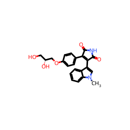 Cn1cc(C2=C(c3ccc(OC[C@H](O)CO)cc3)C(=O)NC2=O)c2ccccc21